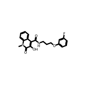 Cn1c(=O)c(O)c(C(=O)NCCCOc2cccc(F)c2)c2ccccc21